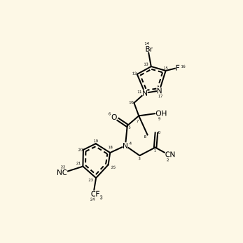 C=C(C#N)CN(C(=O)C(C)(O)Cn1cc(Br)c(F)n1)c1ccc(C#N)c(C(F)(F)F)c1